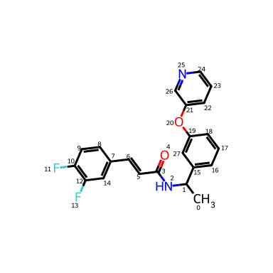 CC(NC(=O)/C=C/c1ccc(F)c(F)c1)c1cccc(Oc2cccnc2)c1